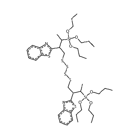 CCCO[Si](OCCC)(OCCC)C(C)C(CSSSSCC(c1nc2ccccc2s1)C(C)[Si](OCCC)(OCCC)OCCC)c1nc2ccccc2s1